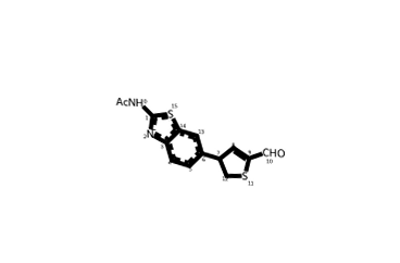 CC(=O)Nc1nc2ccc(C3C=C(C=O)SC3)cc2s1